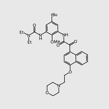 CCN(CC)C(=O)Nc1cc(C(C)(C)C)cc(NC(=O)C(=O)c2ccc(OCCN3CCOCC3)c3ccccc23)c1OC